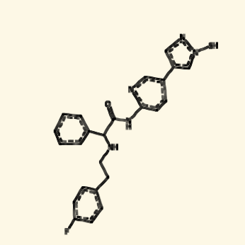 O=C(Nc1ccc(-c2cnn(S)c2)cn1)C(NCCc1ccc(F)cc1)c1ccccc1